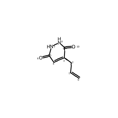 C=CCc1cc(=O)[nH][nH]c1=O